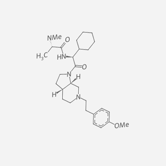 CN[C@@H](C)C(=O)N[C@H](C(=O)N1CC[C@H]2CCN(CCc3ccc(OC)cc3)C[C@H]21)C1CCCCC1